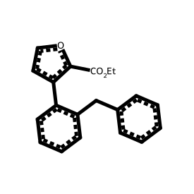 CCOC(=O)c1occc1-c1ccccc1Cc1ccccc1